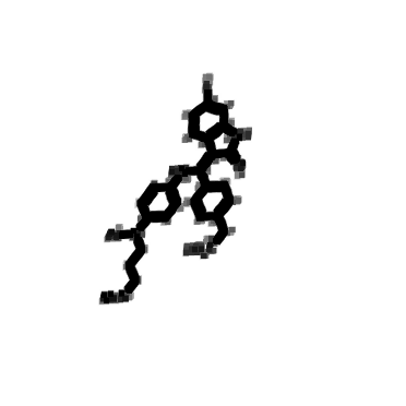 CNCCCN(C(C)=O)c1ccc(NC(=C2C(=O)Nc3cc(F)ccc32)c2ccc(CC(=O)O)cc2)cc1